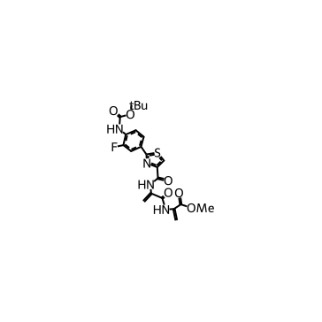 C=C(NC(=O)c1csc(-c2ccc(NC(=O)OC(C)(C)C)c(F)c2)n1)C(=O)NC(=C)C(=O)OC